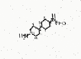 NN1CCC(C2CCC(NC=O)CC2)CC1